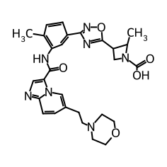 Cc1ccc(-c2noc(C3CN(C(=O)O)C3C)n2)cc1NC(=O)c1cnc2ccc(CCN3CCOCC3)cn12